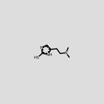 CN(C)CCc1cnc(S)[nH]1